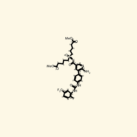 COC(=O)CCCCS(=O)(CCCCC(=O)OC)=NC(=O)c1cnc(N)c(-c2ccc(NC(=O)Nc3cc(C(F)(F)F)ccc3F)cc2)c1